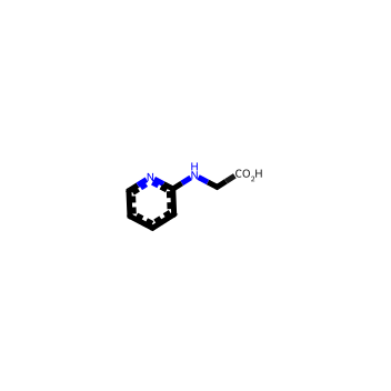 O=C(O)CNc1[c]cccn1